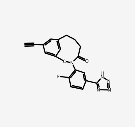 C#Cc1cc2cc(c1)CN(c1cc(-c3nnn[nH]3)ccc1F)C(=O)CCC2